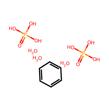 O.O.O.O=P(O)(O)O.O=P(O)(O)O.c1ccccc1